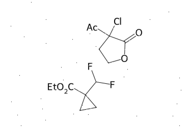 CC(=O)C1(Cl)CCOC1=O.CCOC(=O)C1(C(F)F)CC1